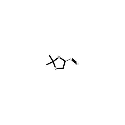 CC1(C)OC[C@@H](C=O)O1